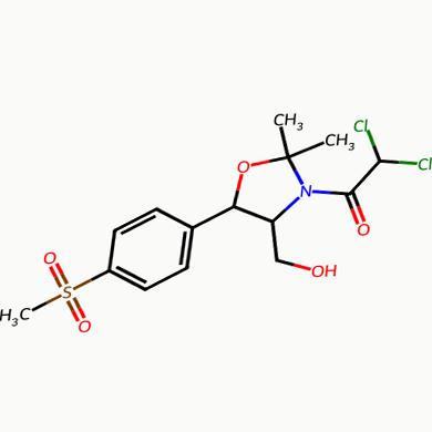 CC1(C)OC(c2ccc(S(C)(=O)=O)cc2)C(CO)N1C(=O)C(Cl)Cl